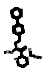 CCCCCC[C@@H](CCc1ccc(-c2ccccc2)cc1)C(=O)N1NCCC[C@H]1C(=O)NC